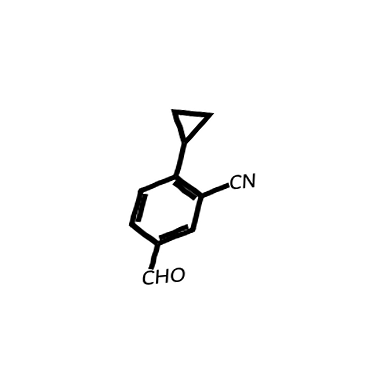 N#Cc1cc(C=O)ccc1C1CC1